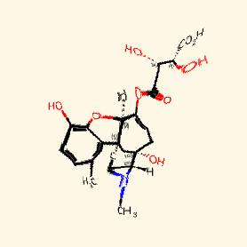 Cc1ccc(O)c2c1[C@]13CC4[C@@H](N4C)[C@]1(O)CC=C(OC(=O)[C@H](O)[C@@H](O)C(=O)O)[C@@H]3O2